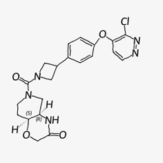 O=C1CO[C@H]2CCN(C(=O)N3CC(c4ccc(Oc5ccnnc5Cl)cc4)C3)C[C@H]2N1